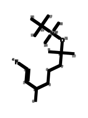 CC(C=CF)CCCC(C)(C)O[Si](C)(C)C(C)(C)C